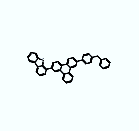 c1ccc(Cc2ccc(-c3ccc4c5ccc(-c6cccc7c6sc6ccccc67)cc5c5ccccc5c4c3)cc2)cc1